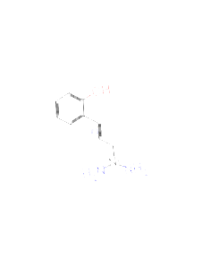 [NH2][Ni]([NH2])[CH2]/[C]=C/c1ccccc1O